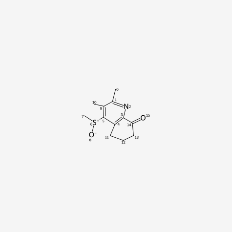 Cc1nc2c(c([S+](C)[O-])c1C)CCCC2=O